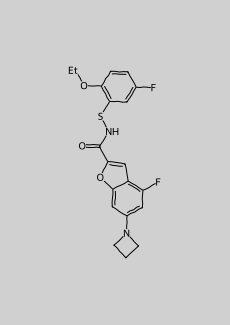 CCOc1ccc(F)cc1SNC(=O)c1cc2c(F)cc(N3CCC3)cc2o1